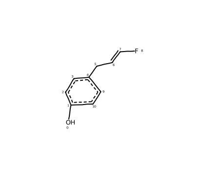 Oc1ccc(C/C=C/F)cc1